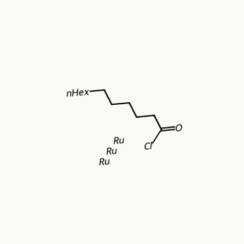 CCCCCCCCCCCC(=O)Cl.[Ru].[Ru].[Ru]